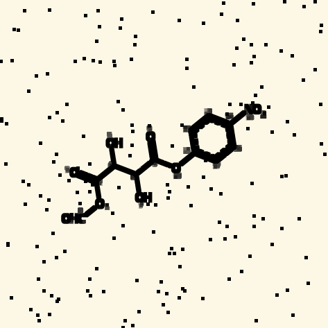 O=COC(=O)C(O)C(O)C(=O)Oc1ccc([N+](=O)[O-])cc1